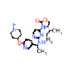 CC(C)[C@H]1COC(=O)N1c1ccnc(N[C@@H](C)c2ccc(OC3CCNCC3)nc2)n1